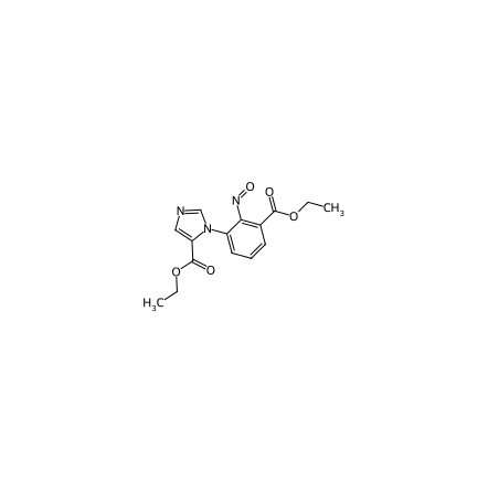 CCOC(=O)c1cccc(-n2cncc2C(=O)OCC)c1N=O